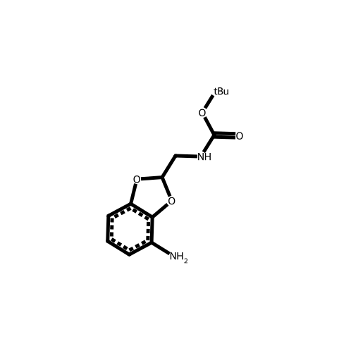 CC(C)(C)OC(=O)NCC1Oc2cccc(N)c2O1